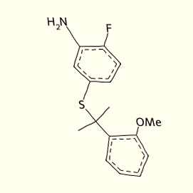 COc1ccccc1C(C)(C)Sc1ccc(F)c(N)c1